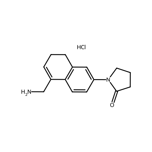 Cl.NCC1=CCCc2cc(N3CCCC3=O)ccc21